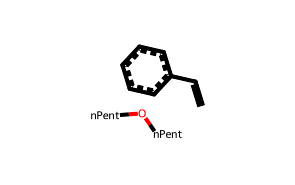 C=Cc1ccccc1.CCCCCOCCCCC